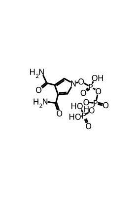 NC(=O)c1cn(OP(=O)(O)OP(=O)(O)OP(=O)(O)O)cc1C(N)=O